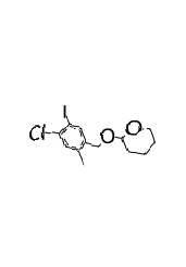 Cc1cc(Cl)c(I)cc1COC1CCCCO1